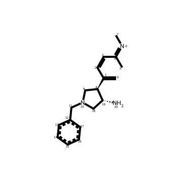 C=C(/C=C\C(C)=N/C)[C@@H]1CN(Cc2ccccc2)C[C@H]1N